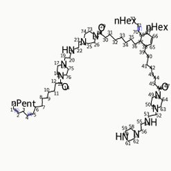 CCCCC/C=C\C/C=C\CCCCCCCC(=O)N1CCN(CCNCCN2CCN(C(=O)CCCCCCCC3C(CCCCCCCC(=O)N4CCN(CCNCCN5CCNCC5)CC4)C=CC(CCCCCC)C3/C=C/CCCCCC)CC2)CC1